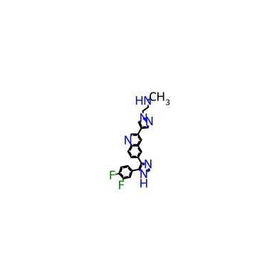 CNCCn1cc(-c2cnc3ccc(-c4nc[nH]c4-c4ccc(F)c(F)c4)cc3c2)cn1